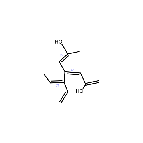 C=CC(=C/C)/C(=C\C(=C)O)/C=C(\C)O